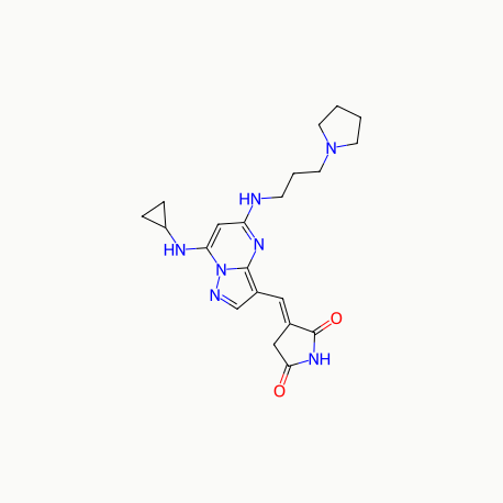 O=C1C/C(=C\c2cnn3c(NC4CC4)cc(NCCCN4CCCC4)nc23)C(=O)N1